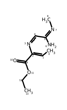 C\C=C(/N=C\C(N)=N/C)C(=O)OCC